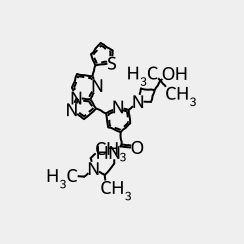 CCN(CC)C(C)CNC(=O)c1cc(-c2cnn3ccc(-c4cccs4)nc23)nc(N2CC(C(C)(C)O)C2)c1